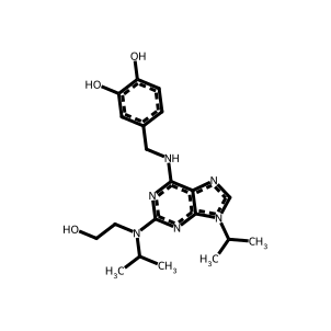 CC(C)N(CCO)c1nc(NCc2ccc(O)c(O)c2)c2ncn(C(C)C)c2n1